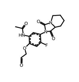 CC(=O)Nc1cc(N2C(=O)C3CCCCN3C2=O)c(F)cc1OCC=O